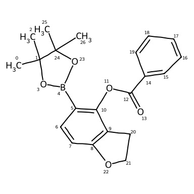 CC1(C)OB(c2ccc3c(c2OC(=O)c2ccccc2)CCO3)OC1(C)C